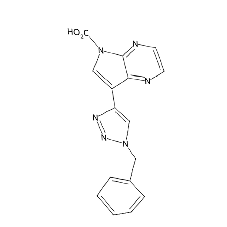 O=C(O)n1cc(-c2cn(Cc3ccccc3)nn2)c2nccnc21